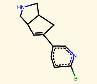 Brc1ccc(C2=CC3CNCC3C2)cn1